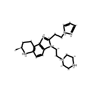 C[C@H]1CCc2c(ccc3c2nc(CCn2cccn2)n3CCN2CCNCC2)N1